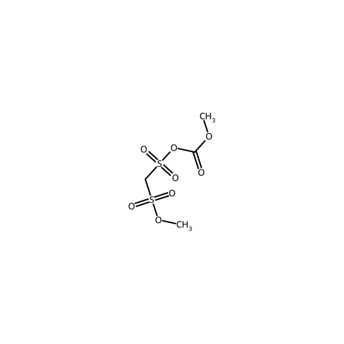 COC(=O)OS(=O)(=O)CS(=O)(=O)OC